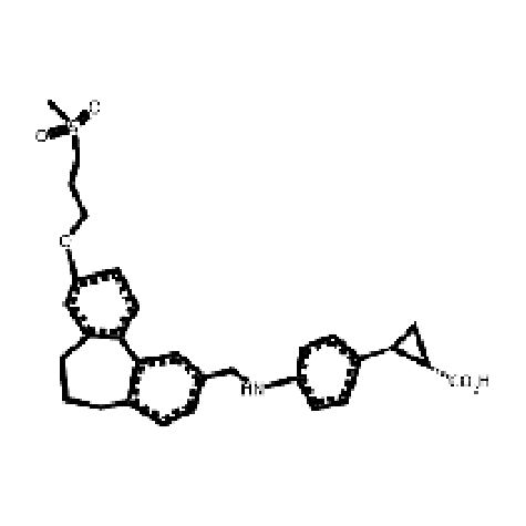 CS(=O)(=O)CCCOc1ccc2c(c1)CCCc1ccc(CNc3ccc([C@H]4C[C@@H]4C(=O)O)cc3)cc1-2